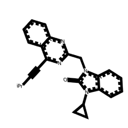 CC(C)C#Cc1nc(Cn2c(=O)n(C3CC3)c3ccccc32)nc2ccccc12